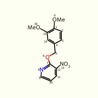 COc1ccc(COc2ncccc2[N+](=O)[O-])cc1OC